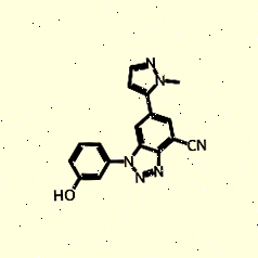 Cn1nccc1-c1cc(C#N)c2nnn(-c3cccc(O)c3)c2c1